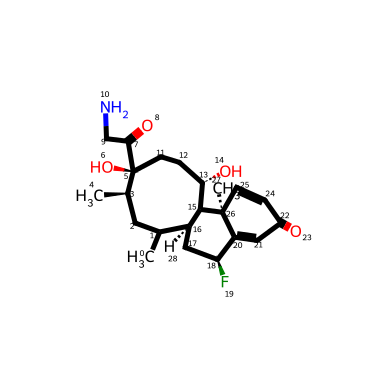 CC1C[C@@H](C)[C@](O)(C(=O)CN)CC[C@H](O)C2[C@H]1C[C@H](F)C1=CC(=O)C=C[C@@]12C